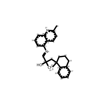 Cc1ccc2c(N=CC(O)(CC3(C)CCCc4ccccc43)C(F)(F)F)cccc2n1